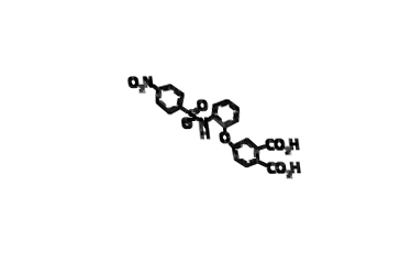 O=C(O)c1ccc(Oc2ccccc2NS(=O)(=O)c2ccc([N+](=O)[O-])cc2)cc1C(=O)O